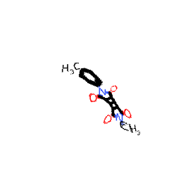 Cc1ccc(N2C(=O)C3C(C2=O)C2C4C(=O)N(C)C(=O)C4C32)cc1